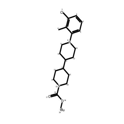 Cc1c(Cl)cccc1N1CCC(C2CCN(C(=O)OC(C)(C)C)CC2)CC1